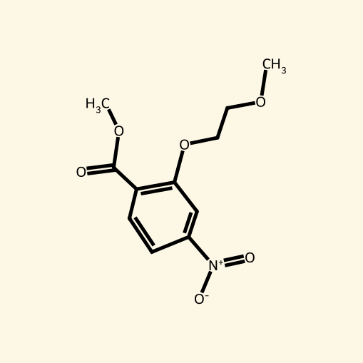 COCCOc1cc([N+](=O)[O-])ccc1C(=O)OC